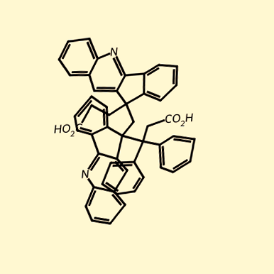 O=C(O)CCC1(CC2(C(CC(=O)O)(c3ccccc3)c3ccccc3)c3ccccc3-c3nc4ccccc4cc32)c2ccccc2-c2nc3ccccc3cc21